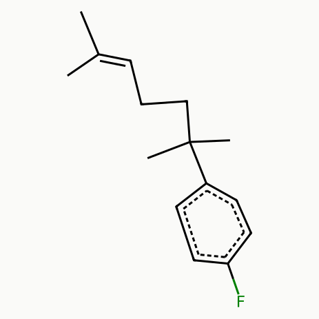 CC(C)=CCCC(C)(C)c1ccc(F)cc1